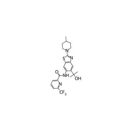 CC1CCN(c2nc3cc(C(C)(C)O)c(NC(=O)c4cccc(C(F)(F)F)n4)cc3s2)CC1